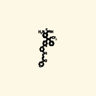 N=C(F)c1cc(/C(=C(\CC(F)(F)F)c2ccccc2)c2ccc(N3CCCC(NC/C=C/C(=O)N4CCOCC4)C3)nc2)ccc1N